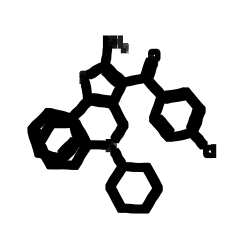 Nc1sc(-c2ccccc2)c(CN(C2CCCCC2)C2CCCCC2)c1C(=O)c1ccc(Cl)cc1